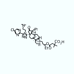 CC[C@H](CC[C@@]1(C)[C@H](C)CC[C@]2(C)[C@@H]1CC[C@@H]1C3=C(C(C)C)C(=O)C[C@]3(c3nnc(-c4ncc(Cl)cn4)n3CCN(C)C)CC[C@]12C)OC(=O)CC(C)(C)C(=O)O